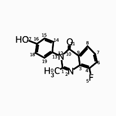 Cc1nc2c(F)cccc2c(=O)n1-c1ccc(O)cc1